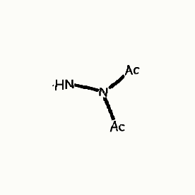 CC(=O)N([NH])C(C)=O